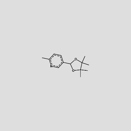 Cc1ccc(C2OC(C)(C)C(C)(C)O2)cn1